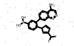 Nc1cnnc2cc(-c3cc(B(O)O)ccc3C3C=CC(C(F)F)=C3)ccc12